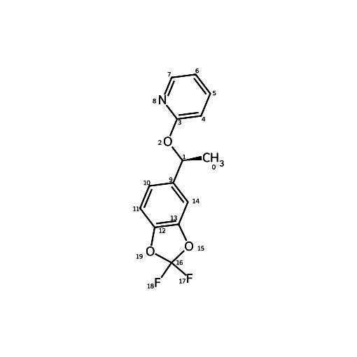 C[C@H](Oc1ccccn1)c1ccc2c(c1)OC(F)(F)O2